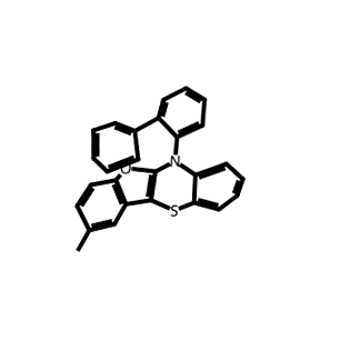 Cc1ccc2oc3c(c2c1)Sc1ccccc1N3c1ccccc1-c1ccccc1